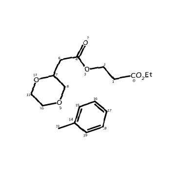 CCOC(=O)CCOC(=O)CC1COCCO1.Cc1ccccc1